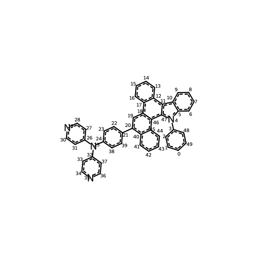 c1ccc(-n2c3ccccc3c3c4ccccc4c4cc(-c5ccc(N(c6ccncc6)c6ccncc6)cc5)c5ccccc5c4c32)cc1